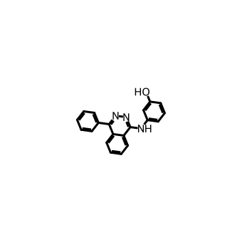 Oc1cccc(Nc2nnc(-c3ccccc3)c3ccccc23)c1